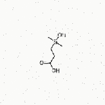 C[Si](C)(O)CCC(=O)O